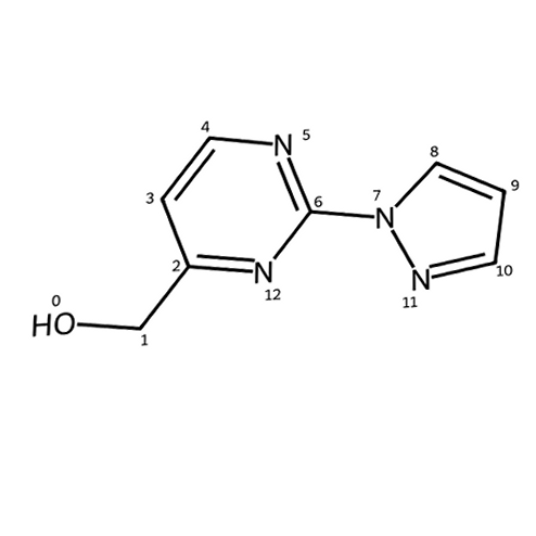 OCc1ccnc(-n2cccn2)n1